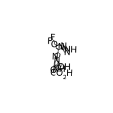 O=C(O)ON[C@H]1CCN(c2ccc(-c3cc(OCC(F)F)cn4nc5[nH]ncc5c34)cn2)C[C@H]1O